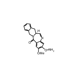 COc1cc2c(cc1ON)N=C[C@@H]1Cc3ccccc3CN1C2=O